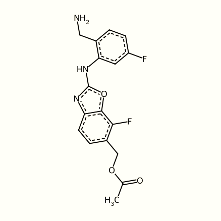 CC(=O)OCc1ccc2nc(Nc3cc(F)ccc3CN)oc2c1F